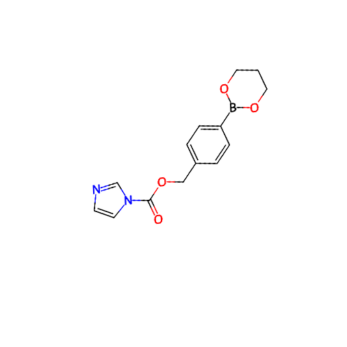 O=C(OCc1ccc(B2OCCCO2)cc1)n1ccnc1